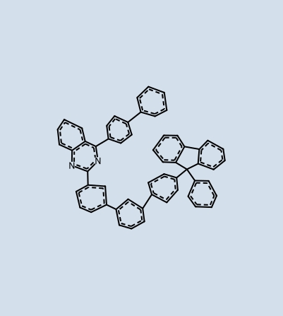 c1ccc(-c2ccc(-c3nc(-c4cccc(-c5cccc(-c6ccc(C7(c8ccccc8)c8ccccc8-c8ccccc87)cc6)c5)c4)nc4ccccc34)cc2)cc1